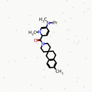 Cc1ccc2c(c1)CCC1(CCN(C(=O)C3C=CC(N(C)C(C)C)=CN3C)CC1)C2